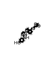 CS(=O)(=O)CCOCc1cccc2c1ccn2-c1ccnc(NC2CCC(O)CC2)n1